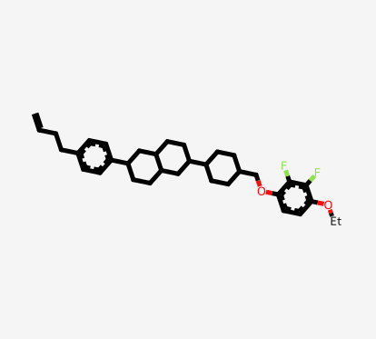 C=CCCc1ccc(C2CCC3CC(C4CCC(COc5ccc(OCC)c(F)c5F)CC4)CCC3C2)cc1